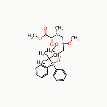 COC(=O)C(=O)N(C)CC(CCO[Si](c1ccccc1)(c1ccccc1)C(C)(C)C)(OC)OC